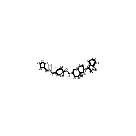 c1ccc2c(N3CCN4C[C@@H](COc5ccc(CNCC6CCCC6)cn5)CC[C@H]4C3)noc2c1